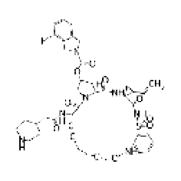 C=C[C@@H]1C[C@@]12NC(=O)[C@@H]1C[C@@H](OC(=O)N3Cc4cccc(F)c4C3)CN1C(=O)[C@@H](NC(=O)CC1CCNCC1)CCCCCCCNc1ccccc1S(=O)(=O)NC2=O